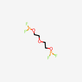 FP(F)OCCOCCOP(F)F